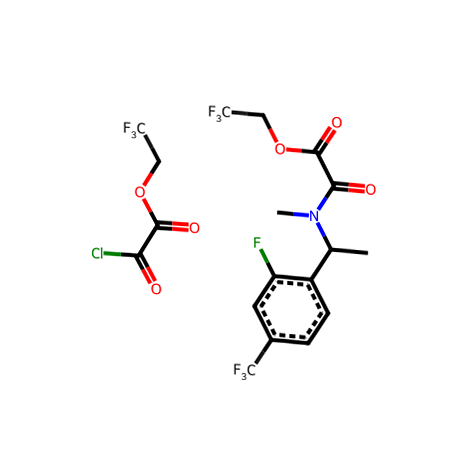 CC(c1ccc(C(F)(F)F)cc1F)N(C)C(=O)C(=O)OCC(F)(F)F.O=C(Cl)C(=O)OCC(F)(F)F